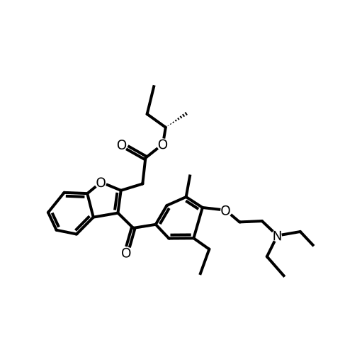 CCc1cc(C(=O)c2c(CC(=O)O[C@@H](C)CC)oc3ccccc23)cc(C)c1OCCN(CC)CC